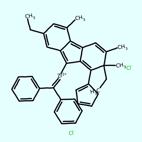 CCc1cc(C)c2c(c1)=[C]([Zr+2]=[C](c1ccccc1)c1ccccc1)C1=C(C3=CC=CC3)C(C)(CC)C(C)=CC=21.[Cl-].[Cl-]